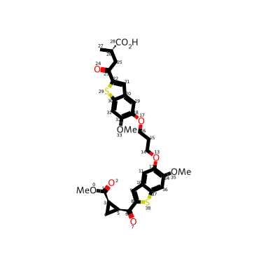 COC(=O)[C@@H]1C[C@@H]1C(=O)c1cc2cc(OCCCOc3cc4cc(C(=O)C[C@H](C)C(=O)O)sc4cc3OC)c(OC)cc2s1